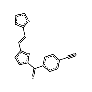 N#Cc1ccc(C(=O)n2ccc(C=Cc3cccs3)n2)cc1